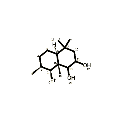 CC[C@H]1[C@@H](C)CC[C@H]2C(C)(C)CC(O)C(O)[C@]12C